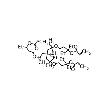 C=CC(=O)OC(CC)CCOB(C)CC(CC)(CC(C)(CC)OCCC(CC)(CC)OC(=O)C=C)CC(C)(CC)OCCC(CC)(CC)OC(=O)C=C